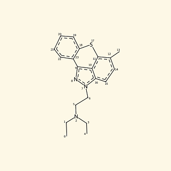 CCN(CC)CCn1nc2c3c(c(C)ccc31)Sc1ccccc1-2